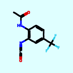 CC(=O)Nc1ccc(C(F)(F)F)cc1N=C=O